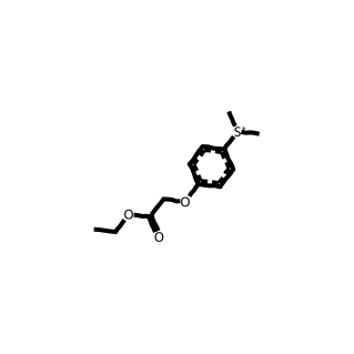 CCOC(=O)COc1ccc([S+](C)C)cc1